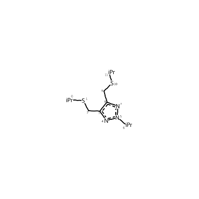 CC(C)SCc1nn(C(C)C)nc1CSC(C)C